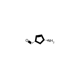 N[C@H]1C=C[C@@H]([C]=O)C1